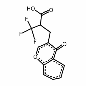 O=C(O)C(Cc1coc2ccccc2c1=O)C(F)(F)F